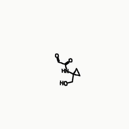 O=CC(=O)NC1(CO)CC1